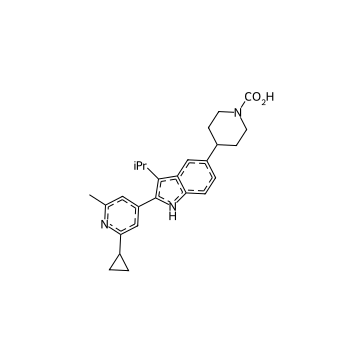 Cc1cc(-c2[nH]c3ccc(C4CCN(C(=O)O)CC4)cc3c2C(C)C)cc(C2CC2)n1